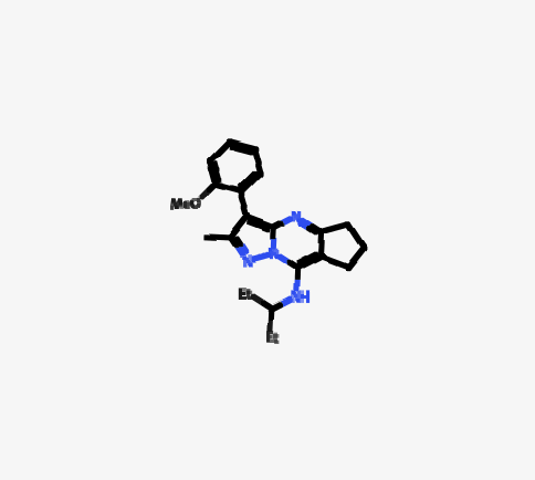 CCC(CC)Nc1c2c(nc3c(-c4ccccc4OC)c(C)nn13)CCC2